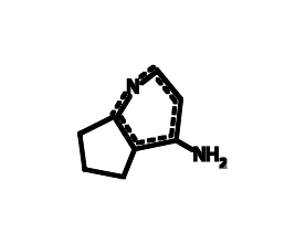 Nc1ccnc2c1CCC2